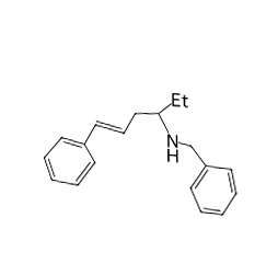 CCC(CC=Cc1ccccc1)NCc1ccccc1